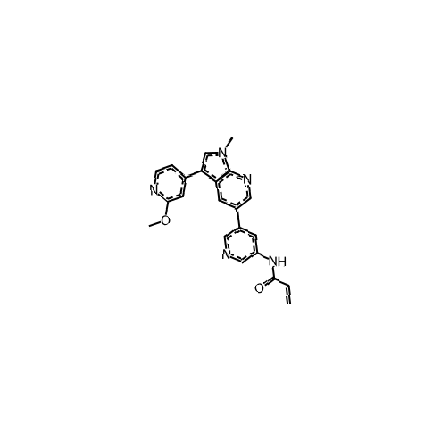 C=CC(=O)Nc1cncc(-c2cnc3c(c2)c(-c2ccnc(OC)c2)cn3C)c1